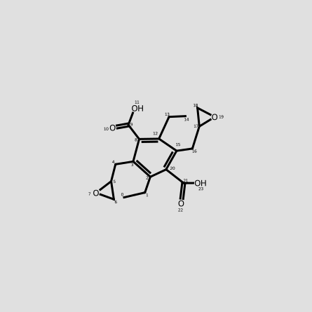 CCc1c(CC2CO2)c(C(=O)O)c(CC)c(CC2CO2)c1C(=O)O